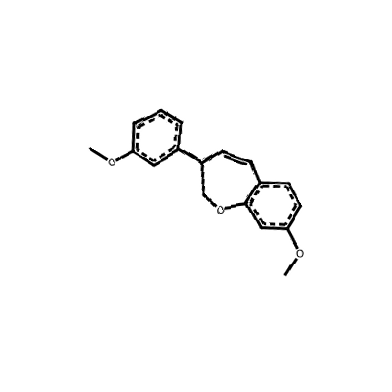 COc1cccc(C2C=Cc3ccc(OC)cc3OC2)c1